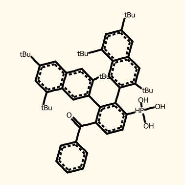 CC(C)(C)c1cc(C(C)(C)C)c2cc(-c3c(C(=O)c4ccccc4)ccc([PH](O)(O)O)c3-c3cc4c(C(C)(C)C)cc(C(C)(C)C)cc4cc3C(C)(C)C)c(C(C)(C)C)cc2c1